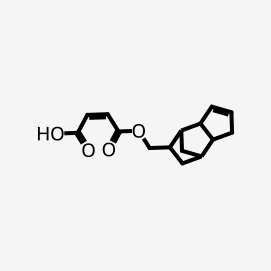 O=C(O)/C=C\C(=O)OCC1CC2CC1C1C=CCC21